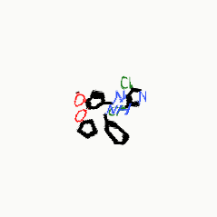 COc1ccc(C(=Nc2c(Cl)cncc2Cl)NCc2ccccc2)cc1OC1CCCC1